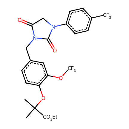 CCOC(=O)C(C)(C)Oc1ccc(CN2C(=O)CN(c3ccc(C(F)(F)F)cc3)C2=O)cc1OC(F)(F)F